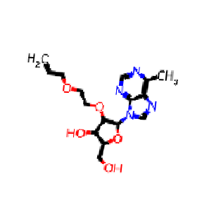 C=CCOCCOC1C(O)C(CO)OC1n1cnc2c(C)ncnc21